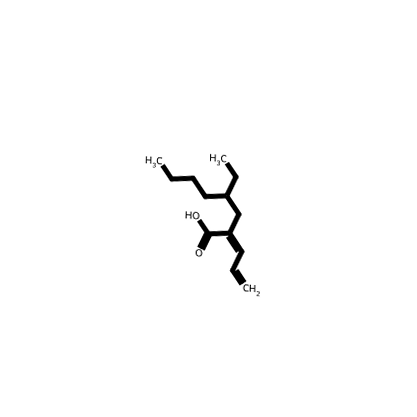 C=CC=C(CC(CC)CCCC)C(=O)O